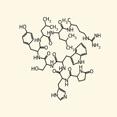 CC(C)CC(NC(=O)C(CC(C)C)NC(=O)C(Cc1ccc(O)cc1)NC(=O)C(CO)NC(=O)C(Cc1c[nH]c2ccccc12)NC(=O)C(Cc1cnc[nH]1)NC(=O)C1CCC(=O)N1)C(=O)NC(C)CCCNC(=N)N